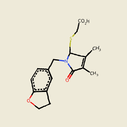 CC1=C(C)C(SCC(=O)O)N(Cc2ccc3c(c2)CCO3)C1=O